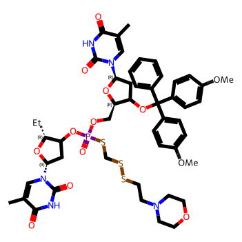 CC[C@H]1O[C@@H](n2cc(C)c(=O)[nH]c2=O)CC1OP(=O)(OC[C@H]1O[C@@H](n2cc(C)c(=O)[nH]c2=O)CC1OC(c1ccccc1)(c1ccc(OC)cc1)c1ccc(OC)cc1)SCSSCCN1CCOCC1